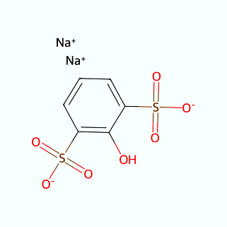 O=S(=O)([O-])c1cccc(S(=O)(=O)[O-])c1O.[Na+].[Na+]